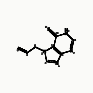 C=CCn1cnc2nc[nH]c(=S)c21